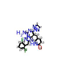 Nc1nc(-n2nccn2)c(Cc2ccc(=O)[nH]c2)c2nc(Cc3c(F)cccc3F)nn12